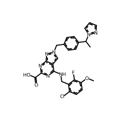 COc1ccc(Cl)c(CNc2nc(C(=O)O)nc3nn(Cc4ccc(C(C)n5cccn5)cc4)cc23)c1F